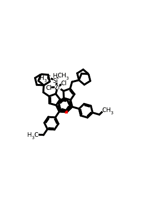 CCc1ccc(-c2cccc3c2C=C(CC24CCC(CC2)C4)[CH]3[Zr]([Cl])([Cl])([CH]2C(CC34CCC(CC3)C4)=Cc3c(-c4ccc(CC)cc4)cccc32)[SiH](C)C)cc1